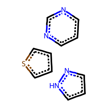 c1ccsc1.c1cn[nH]c1.c1cncnc1